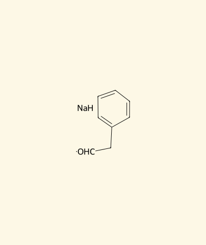 O=[C]Cc1ccccc1.[NaH]